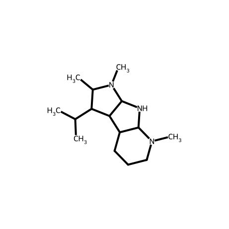 CC(C)C1C2C3CCCN(C)C3NC2N(C)C1C